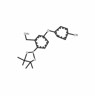 CC(=O)OCc1cc(Oc2ccc(C#N)cc2)ccc1B1OC(C)(C)C(C)(C)O1